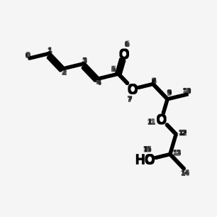 C/C=C/C=C/C(=O)OCC(C)OCC(C)O